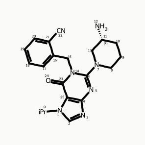 CC(C)n1cnc2nc(N3CCC[C@@H](N)C3)n(Cc3ccccc3C#N)c(=O)c21